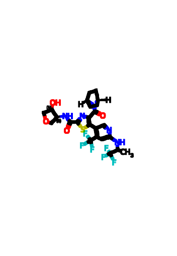 CC(Nc1cc(C(F)(F)F)c(-c2sc(C(=O)N[C@H]3COC[C@H]3O)nc2C(=O)N2[C@H]3CC[C@@H]2CC3)cn1)C(F)(F)F